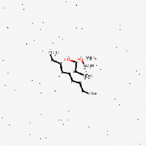 CCCCCCCCCCCCCCCCCC(=O)O.CCCCCCCCCCCCO.O=S(=O)(O)O.[MgH2]